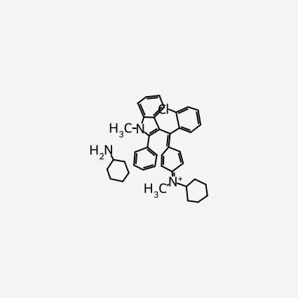 Cn1c(-c2ccccc2)c(C(=C2C=CC(=[N+](C)C3CCCCC3)C=C2)c2ccccc2Cl)c2ccccc21.NC1CCCCC1